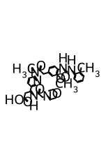 COc1cc(CC(=O)N(C)c2ccc(C(CC(=O)O)NC(=O)CN3CCOCC3)cn2)ccc1NC(=O)Nc1ccccc1C